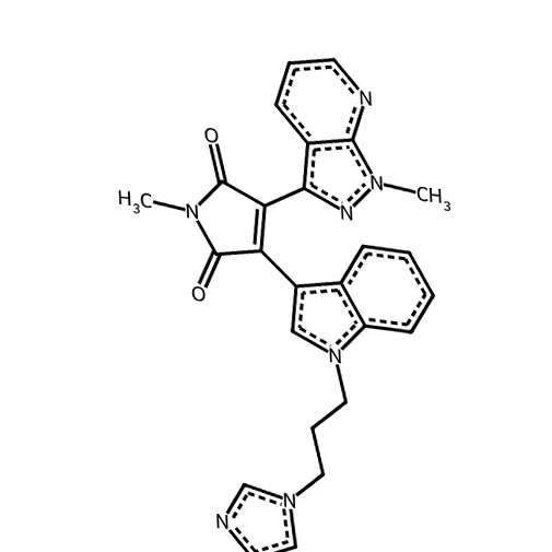 CN1C(=O)C(c2cn(CCCn3ccnc3)c3ccccc23)=C(c2nn(C)c3ncccc23)C1=O